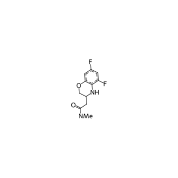 CNC(=O)CC1COc2cc(F)cc(F)c2N1